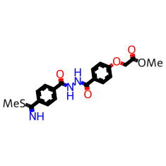 COC(=O)COc1ccc(C(=O)NNC(=O)c2ccc(C(=N)SC)cc2)cc1